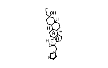 C[C@]12CC[C@H]3[C@@H](CC[C@H]4C[C@@](O)(CF)CC[C@@H]43)[C@@H]1CC[C@@H]2C(=O)Cn1ccnc1